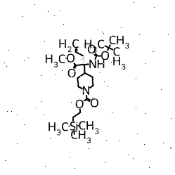 C=CC[C@@](NC(=O)OC(C)(C)C)(C(=O)OC)C1CCN(C(=O)OCC[Si](C)(C)C)CC1